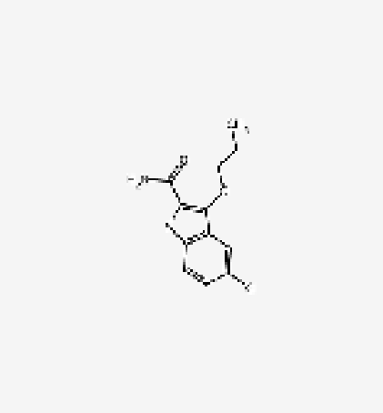 CCCOc1c(C(N)=O)sc2ccc(Cl)cc12